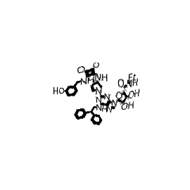 CCNC(=O)[C@H]1O[C@@H](n2cnc3c(NCC(c4ccccc4)c4ccccc4)nc(N4CC[C@@H](Nc5c(NCc6cccc(O)c6)c(=O)c5=O)C4)nc32)[C@H](O)[C@@H]1O